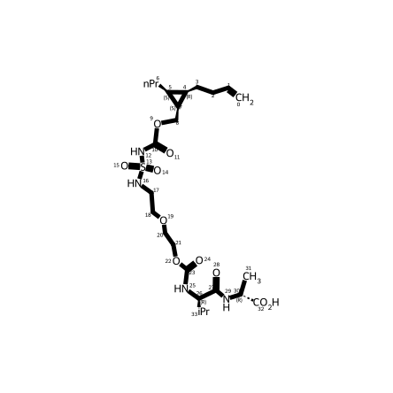 C=CCC[C@@H]1[C@H](CCC)[C@@H]1COC(=O)NS(=O)(=O)NCCOCCOC(=O)N[C@@H](C(=O)N[C@H](C)C(=O)O)C(C)C